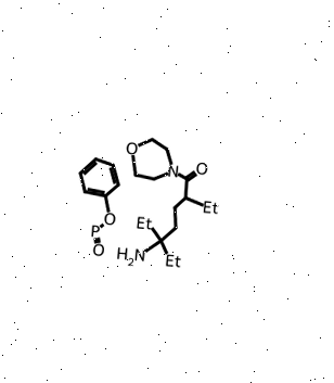 CCC(CCC(N)(CC)CC)C(=O)N1CCOCC1.O=POc1ccccc1